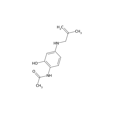 C=C(C)CNc1ccc(NC(C)=O)c(O)c1